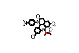 CCC(C)Oc1cc2c(cc1OC)CC(=O)N(c1ccc(N(C)C)cc1)C2c1ccc(Cl)cc1N(C)CC